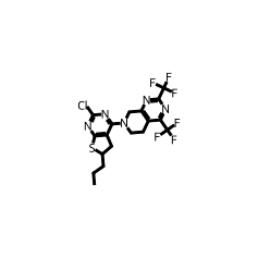 CCCC1Cc2c(nc(Cl)nc2N2CCc3c(nc(C(F)(F)F)nc3C(F)(F)F)C2)S1